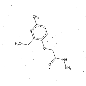 CCc1nc(C)ccc1OCC(=O)NN